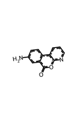 Nc1ccc2c(c1)c(=O)oc1ncccc12